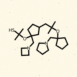 CC(C)(S)OC1(CN2CCC2)CCC(CC(C)(C)OC2(CN3CCCC3)CCCC2)C1